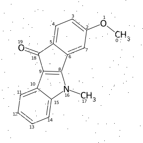 COc1ccc2c(c1)-c1c(c3ccccc3n1C)C2=O